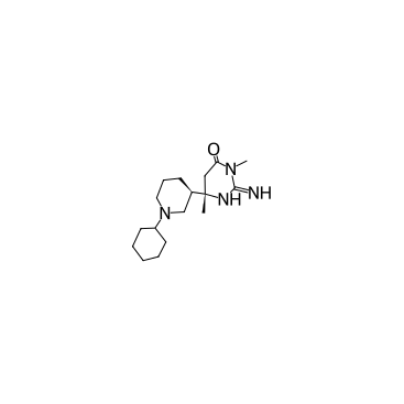 CN1C(=N)N[C@](C)([C@@H]2CCCN(C3CCCCC3)C2)CC1=O